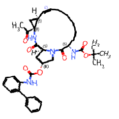 CC(=O)[C@@]12C[C@H]1/C=C\CCCCC[C@H](NC(=O)OC(C)(C)C)C(=O)N1C[C@H](OC(=O)Nc3ccccc3-c3ccccc3)C[C@H]1C(=O)N2